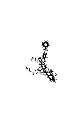 CCCC1C(=O)N(C(Cc2ccc(OCc3ccccc3)cc2)C(=O)NC)CCN1C(=O)C(N)Cc1ccc(F)cc1